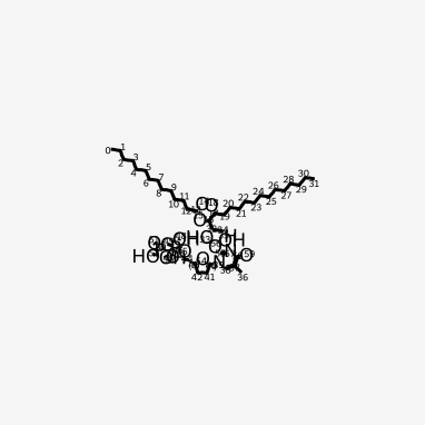 CCCCCCCCCCCCCC(=O)OC(C(=O)CCCCCCCCCCCCC)C(O)CO.Cc1cn([C@H]2CC[C@@H](COP(=O)(O)OP(=O)(O)O)O2)c(=O)[nH]c1=O